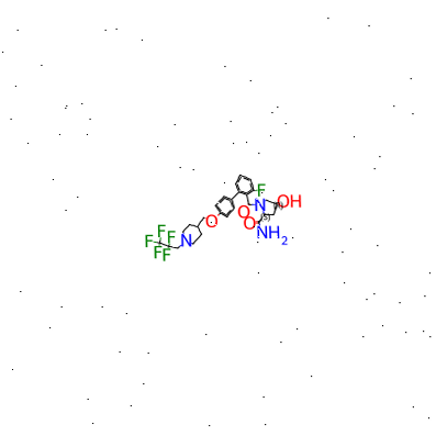 NC(=O)[C@@H]1C[C@@H](O)CN1C(=O)c1c(F)cccc1-c1ccc(OCC2CCN(CC(F)(F)C(F)(F)F)CC2)cc1